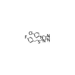 Cn1cnc2c1N=C(SCCc1ccc(F)cc1)N(c1ccc(Cl)cc1)C2